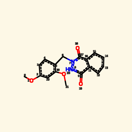 COc1ccc(Cn2[nH]c(=O)c3ccccc3c2=O)c(OC)c1